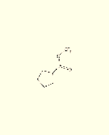 O=C(OC(F)(F)F)C1CCCC1